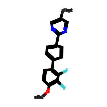 CCCCCCCCOc1ccc(-c2ccc(-c3ncc(CCCCCCC)cn3)cc2)c(F)c1F